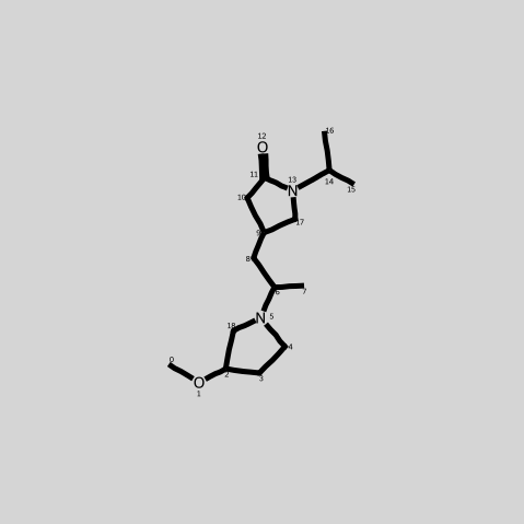 COC1CCN(C(C)CC2CC(=O)N(C(C)C)C2)C1